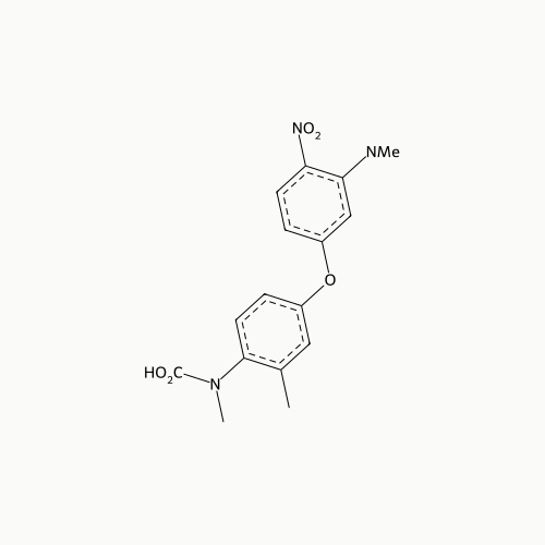 CNc1cc(Oc2ccc(N(C)C(=O)O)c(C)c2)ccc1[N+](=O)[O-]